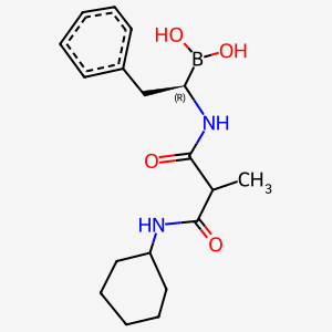 CC(C(=O)NC1CCCCC1)C(=O)N[C@@H](Cc1ccccc1)B(O)O